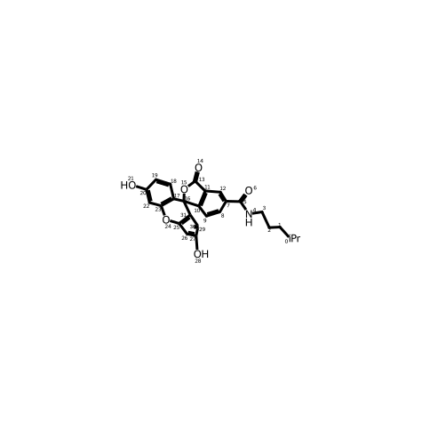 CC(C)CCCNC(=O)c1ccc2c(c1)C(=O)OC21c2ccc(O)cc2Oc2cc(O)ccc21